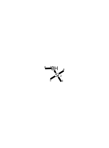 CB[Si](C)(C)C